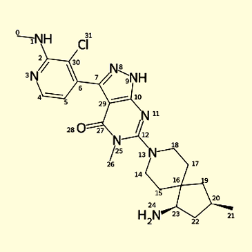 CNc1nccc(-c2n[nH]c3nc(N4CCC5(CC4)C[C@@H](C)C[C@H]5N)n(C)c(=O)c23)c1Cl